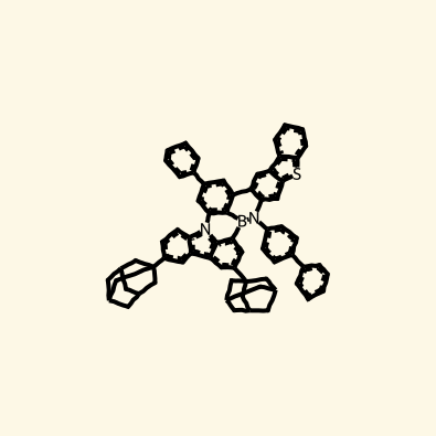 c1ccc(-c2ccc(N3B4c5c(cc(-c6ccccc6)cc5-n5c6ccc(C78CC9CC(CC(C9)C7)C8)cc6c6cc(C78CC9CC(CC(C9)C7)C8)cc4c65)-c4cc5c(cc43)sc3ccccc35)cc2)cc1